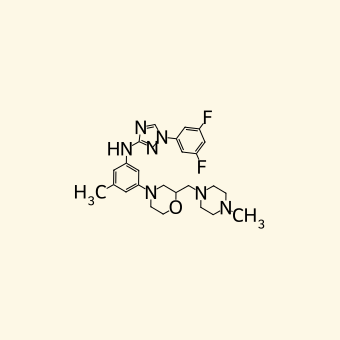 Cc1cc(Nc2ncn(-c3cc(F)cc(F)c3)n2)cc(N2CCOC(CN3CCN(C)CC3)C2)c1